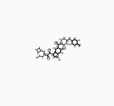 CCCN(CC1CCC1)C(=O)C(=O)c1cn(C)c2cc(Cl)c(C(=O)N3CCC(Cc4ccc(F)cc4)CC3)cc12